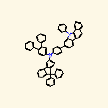 c1ccc(-c2ccc(N(c3ccc(-c4ccc5c6ccc7ccccc7c6n(-c6ccccc6)c5c4)cc3)c3ccc4c(c3)-c3ccccc3C4(c3ccccc3)c3ccccc3)cc2-c2ccccc2)cc1